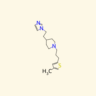 Cc1csc(CCCN2CCC(CCn3ccnc3)CC2)c1